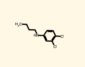 CCCCNc1ccc(Cl)c(Cl)c1